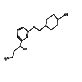 NCCC(O)c1cccc(OCC2CCC(O)CC2)c1